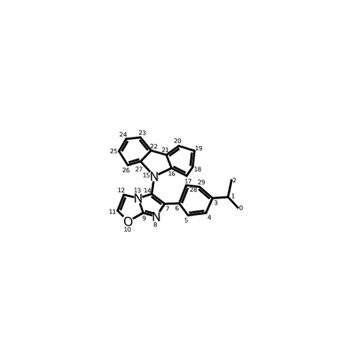 CC(C)c1ccc(-c2nc3occn3c2-n2c3ccccc3c3ccccc32)cc1